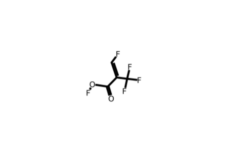 O=C(OF)C(=CF)C(F)(F)F